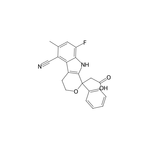 Cc1cc(F)c2[nH]c3c(c2c1C#N)CCOC3(CC(=O)O)c1ccccc1